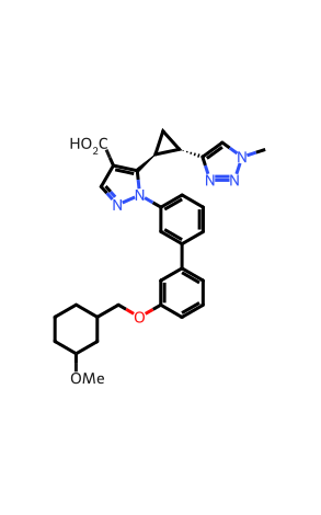 COC1CCCC(COc2cccc(-c3cccc(-n4ncc(C(=O)O)c4[C@H]4C[C@@H]4c4cn(C)nn4)c3)c2)C1